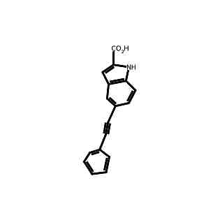 O=C(O)c1cc2cc(C#Cc3ccccc3)ccc2[nH]1